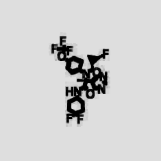 C[C@](C(=O)NC1CCC(F)(F)CC1)(c1cncnc1)N(C(=O)[C@H]1C[C@H]1F)c1ccc(OC(F)(F)F)cc1